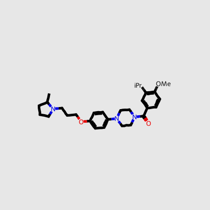 COc1ccc(C(=O)N2CCN(c3ccc(OCCCN4CCCC4C)cc3)CC2)cc1C(C)C